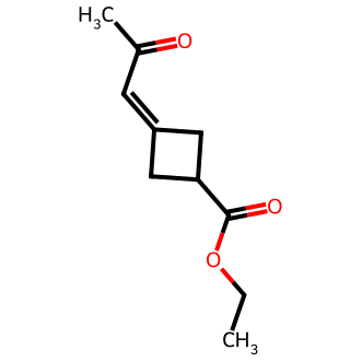 CCOC(=O)C1CC(=CC(C)=O)C1